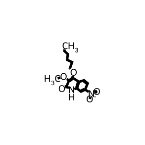 CCCCCCOc1c(OC)c(=O)[nH]c2cc([N+](=O)[O-])ccc12